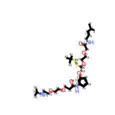 CC(C)/C=C/CNC(=O)COCCO[C@H](COc1cccc(NC(=O)CCOCCOCCNC(C)C)c1)SSC(C)(C)C